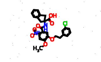 COc1cc([N+](=O)[O-])c(C(=O)NC2(C(=O)O)Cc3ccccc3C2)cc1OCCc1cccc(Cl)c1